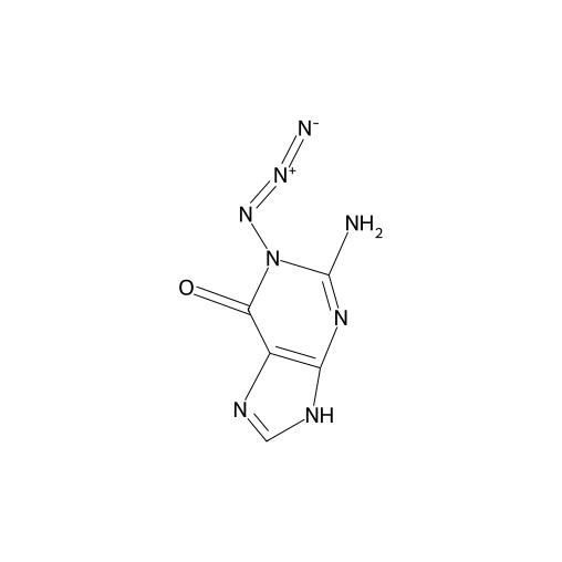 [N-]=[N+]=Nn1c(N)nc2[nH]cnc2c1=O